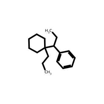 CCCC1(C(CC)c2ccccc2)CCCCC1